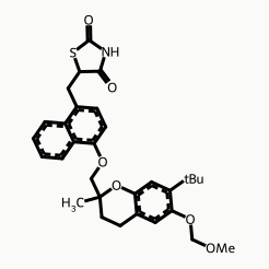 COCOc1cc2c(cc1C(C)(C)C)OC(C)(COc1ccc(CC3SC(=O)NC3=O)c3ccccc13)CC2